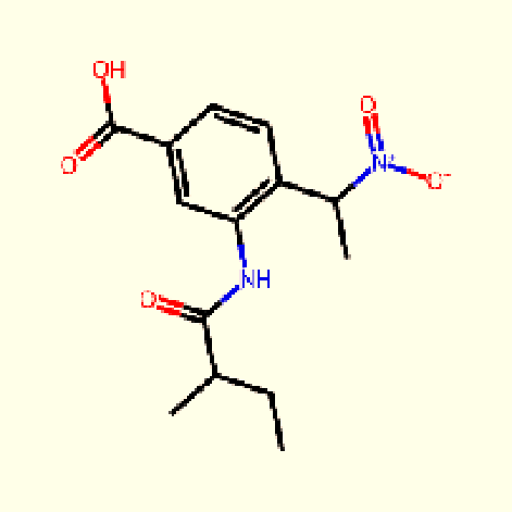 CCC(C)C(=O)Nc1cc(C(=O)O)ccc1C(C)[N+](=O)[O-]